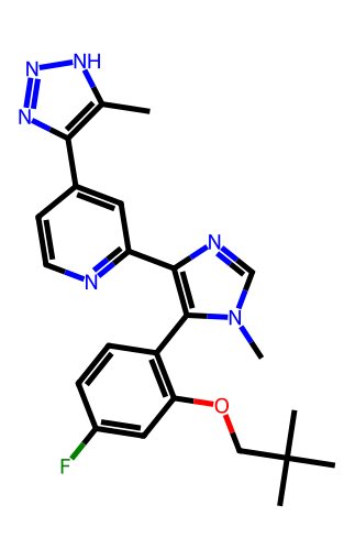 Cc1[nH]nnc1-c1ccnc(-c2ncn(C)c2-c2ccc(F)cc2OCC(C)(C)C)c1